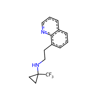 FC(F)(F)C1(NCCc2cccc3cccnc23)CC1